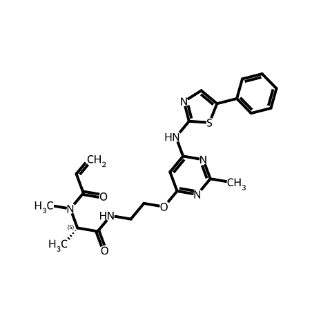 C=CC(=O)N(C)[C@@H](C)C(=O)NCCOc1cc(Nc2ncc(-c3ccccc3)s2)nc(C)n1